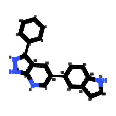 c1ccc(-c2n[nH]c3ncc(-c4ccc5[nH]ccc5c4)cc23)cc1